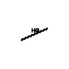 C=CCCCCCCCCCC(O)CCCCCC